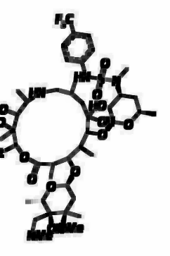 CCC1OC(=O)C(C)C(O[C@H]2C[C@@](C)(OC)[C@](O)(CNC)[C@H](C)O2)C(C)C(O[C@@H]2O[C@H](C)C[C@H](N(C)S(=O)(=O)Nc3ccc(C(F)(F)F)cc3)[C@H]2O)C(C)(O)CC(C)CNC(C)C(O)C1(C)O